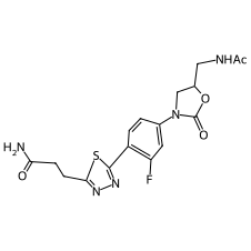 CC(=O)NCC1CN(c2ccc(-c3nnc(CCC(N)=O)s3)c(F)c2)C(=O)O1